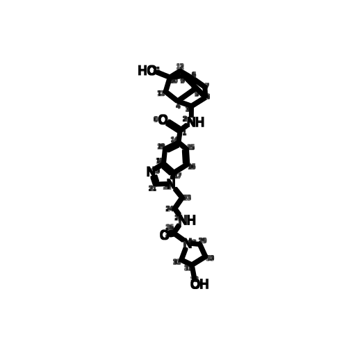 O=C(NC1C2CC3CC1CC(O)(C3)C2)c1ccc2c(c1)ncn2CCNC(=O)N1CCC(O)C1